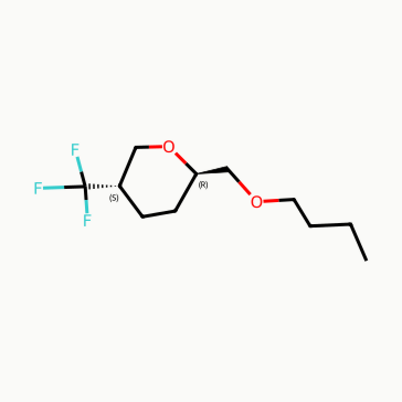 CCCCOC[C@H]1CC[C@H](C(F)(F)F)CO1